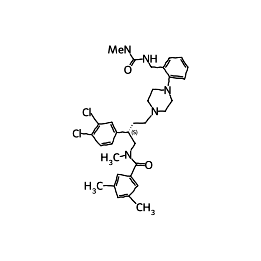 CNC(=O)NCc1ccccc1N1CCN(CC[C@H](CN(C)C(=O)c2cc(C)cc(C)c2)c2ccc(Cl)c(Cl)c2)CC1